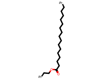 CC(C)CCCCCCCCCCCCCCCC(=O)OCCC(C)C